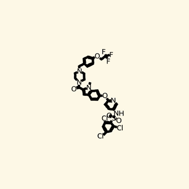 Cn1c(C(=O)N2CCN(Cc3ccc(OCC(F)(F)F)cc3)CC2)cc2ccc(Oc3ccc(NS(=O)(=O)c4c(Cl)cc(Cl)cc4Cl)cn3)cc21